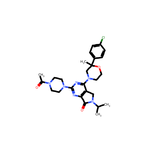 CC(=O)N1CCN(c2nc3c(c(N4CCOC(C)(c5ccc(Cl)cc5)C4)n2)CN(C(C)C)C3=O)CC1